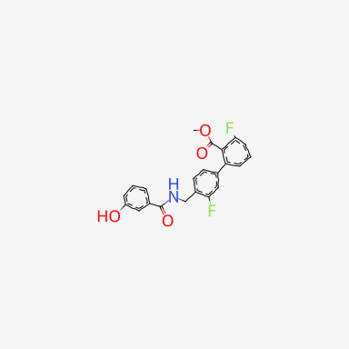 COC(=O)c1c(F)cccc1-c1ccc(CNC(=O)c2cccc(O)c2)c(F)c1